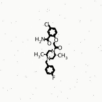 C[C@@H]1CN(Cc2ccc(F)cc2)[C@@H](C)CN1C(=O)COc1ccc(Cl)cc1C(N)=O